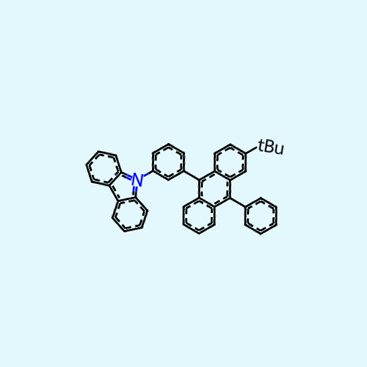 CC(C)(C)c1ccc2c(-c3cccc(-n4c5ccccc5c5ccccc54)c3)c3ccccc3c(-c3ccccc3)c2c1